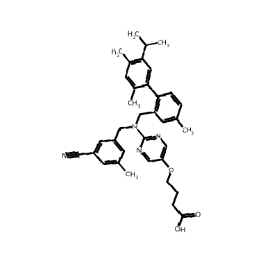 Cc1cc(C#N)cc(CN(Cc2cc(C)ccc2-c2cc(C(C)C)c(C)cc2C)c2ncc(OCCCC(=O)O)cn2)c1